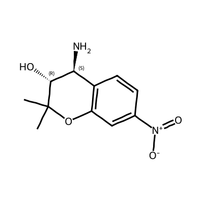 CC1(C)Oc2cc([N+](=O)[O-])ccc2[C@H](N)[C@H]1O